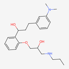 CCCNCC(O)COc1ccccc1C(O)CCc1cccc(N(C)C)c1